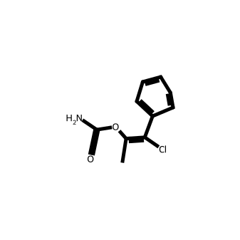 CC(OC(N)=O)=C(Cl)c1ccccc1